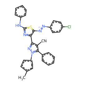 Cc1ccc(-n2nc(-c3nc(Nc4ccccc4)sc3/N=N/c3ccc(Cl)cc3)c(C#N)c2-c2ccccc2)cc1